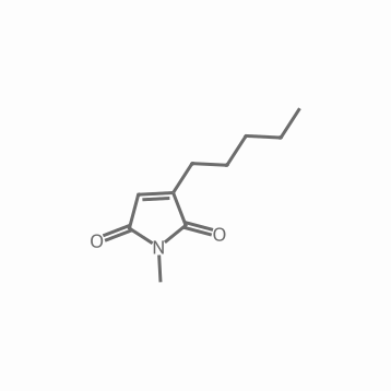 CCCCCC1=CC(=O)N(C)C1=O